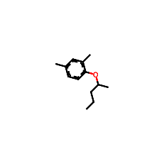 CCCC(C)Oc1ccc(C)cc1C